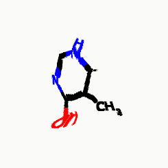 CC1=C(O)N=CN[CH]1